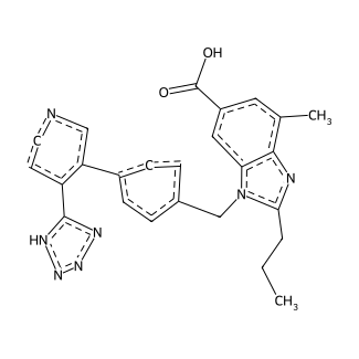 CCCc1nc2c(C)cc(C(=O)O)cc2n1Cc1ccc(-c2cnccc2-c2nnn[nH]2)cc1